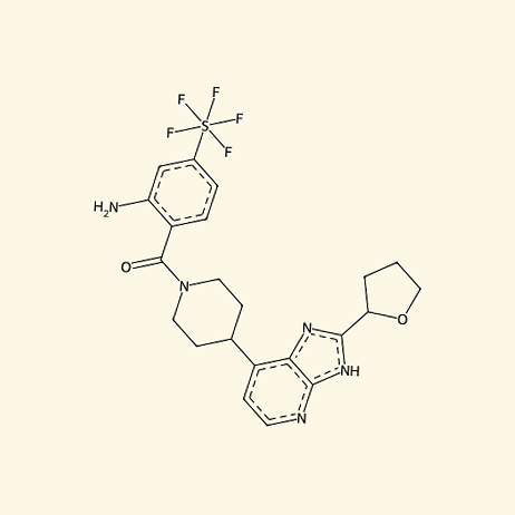 Nc1cc(S(F)(F)(F)(F)F)ccc1C(=O)N1CCC(c2ccnc3[nH]c(C4CCCO4)nc23)CC1